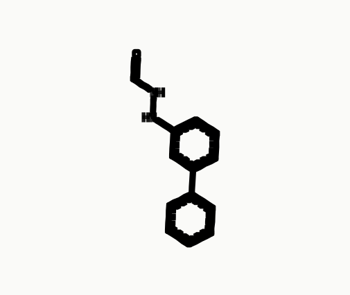 O=CNNc1cccc(-c2ccccc2)c1